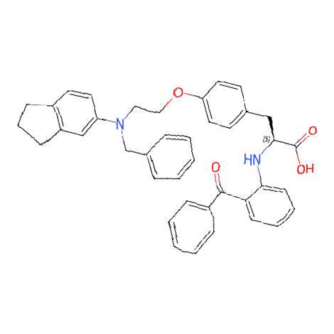 O=C(c1ccccc1)c1ccccc1N[C@@H](Cc1ccc(OCCN(Cc2ccccc2)c2ccc3c(c2)CCC3)cc1)C(=O)O